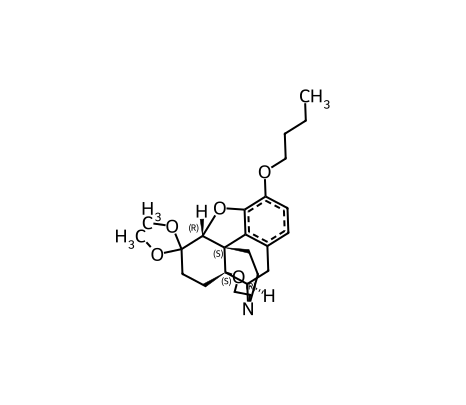 CCCCOc1ccc2c3c1O[C@H]1C(OC)(OC)CC[C@]45OCCN(CC[C@]314)[C@@H]5C2